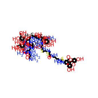 Cc1c(N)nc(C(CC(N)=O)NCC(N)C(N)=O)nc1C(=O)NC(C(=O)NC(C)C(O)CC(=O)NC(C(=O)NC(O[C@@H]1O[C@@H](C)[C@@H](N)[C@@H](O)[C@H]1O)C(O)c1nc(-c2ncc(C(=O)NCCCCNC(=S)Nc3ccc4c(c3)C(=O)OC43c4ccc(O)cc4Oc4cc(O)ccc43)s2)cs1)C(C)O)C(O[C@@H]1O[C@@H](CO)[C@@H](O)[C@H](O)[C@@H]1O[C@H]1O[C@H](CO)[C@@H](O)[C@H](OC(N)=O)[C@@H]1O)c1c[nH]cn1